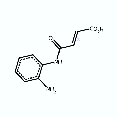 Nc1ccccc1NC(=O)/C=C/C(=O)O